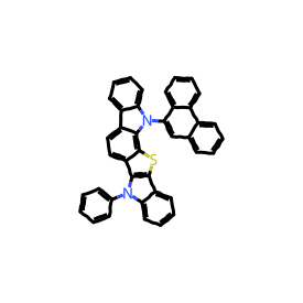 c1ccc(-n2c3ccccc3c3sc4c(ccc5c6ccccc6n(-c6cc7ccccc7c7ccccc67)c54)c32)cc1